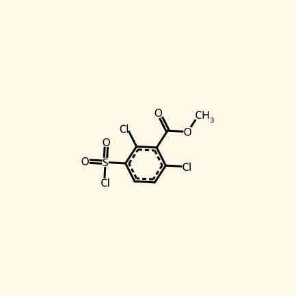 COC(=O)c1c(Cl)ccc(S(=O)(=O)Cl)c1Cl